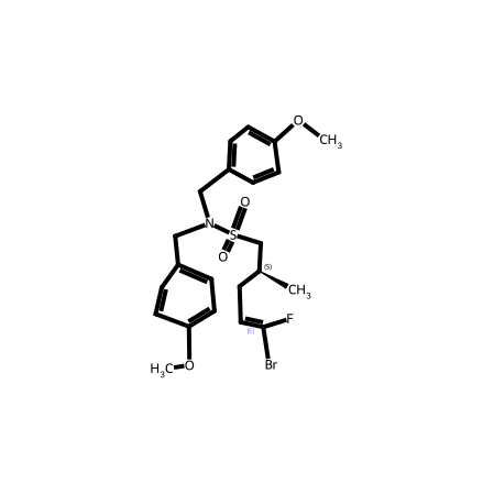 COc1ccc(CN(Cc2ccc(OC)cc2)S(=O)(=O)C[C@@H](C)C/C=C(\F)Br)cc1